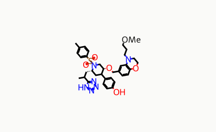 COCCCN1CCOc2ccc(CO[C@H]3CN(S(=O)(=O)c4ccc(C)cc4)[C@@H](CC(C)c4nnn[nH]4)CC3c3ccc(O)cc3)cc21